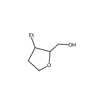 CCC1CCOC1CO